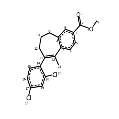 COC(=O)c1ccc2c(c1)CCCC(c1ccc(Cl)cc1Cl)=C2C